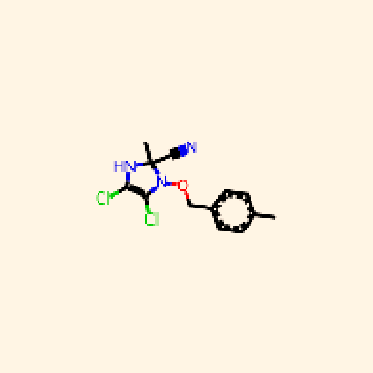 Cc1ccc(CON2C(Cl)=C(Cl)NC2(C)C#N)cc1